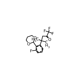 CC(C)(CC(=O)C(F)(F)F)c1cccc(F)c1C1OCCCO1